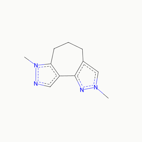 Cn1cc2c(n1)-c1cnn(C)c1CCC2